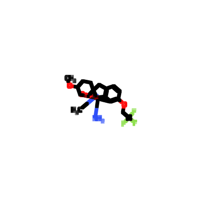 COC1CCC2(CC1)Cc1ccc(OCC(F)(F)F)cc1C21N=C(N)N(C)C1=O